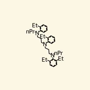 CCCN(CCCN(CCCN(CCC)c1c(CC)cccc1CC)c1ccccc1CC)c1ccccc1CC